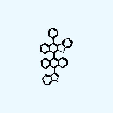 c1ccc(-c2c3ccccc3c(-c3c4ccccc4c(-c4coc5ccccc45)c4ccccc34)c3oc4ccccc4c23)cc1